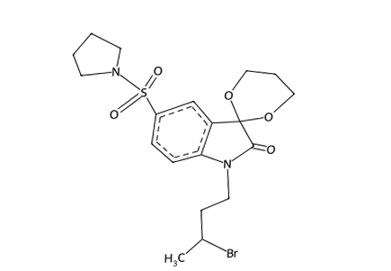 CC(Br)CCN1C(=O)C2(OCCCO2)c2cc(S(=O)(=O)N3CCCC3)ccc21